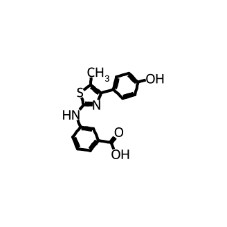 Cc1sc(Nc2cccc(C(=O)O)c2)nc1-c1ccc(O)cc1